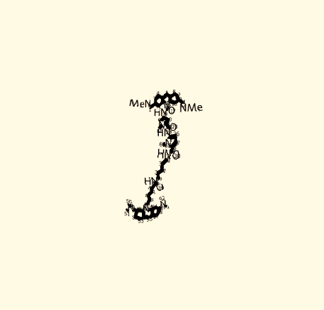 CNCc1ccc2cc3ccc(CNC)cc3[n+](C(=O)Nc3cc(C(=O)Nc4ccc(C(=O)NCCCCCNC(=O)CCCCC[n+]5c6cc(N(C)C)ccc6cc6ccc(N(C)C)cc65)n4C)n(C)c3)c2c1